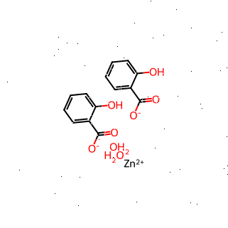 O.O.O=C([O-])c1ccccc1O.O=C([O-])c1ccccc1O.[Zn+2]